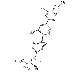 CC(C)[C@H]1CN(c2ncc(-c3ncc(-c4cc(F)c5nn(C)cc5c4)cc3O)nn2)CCN1